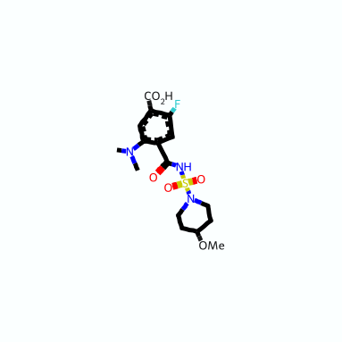 COC1CCN(S(=O)(=O)NC(=O)c2cc(F)c(C(=O)O)cc2N(C)C)CC1